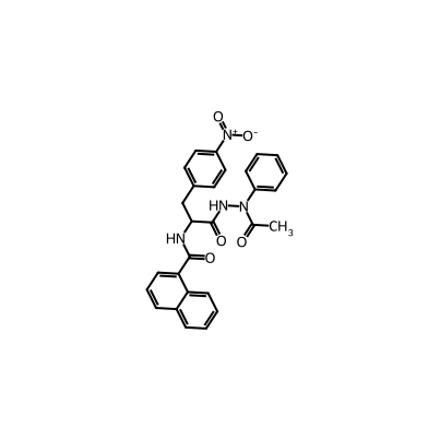 CC(=O)N(NC(=O)C(Cc1ccc([N+](=O)[O-])cc1)NC(=O)c1cccc2ccccc12)c1ccccc1